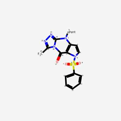 CCCCCn1c2ccn(S(=O)(=O)c3ccccc3)c2c(=O)n2c(C(F)(F)F)nnc12